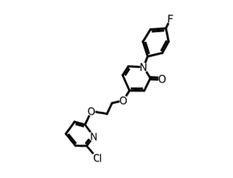 O=c1cc(OCCOc2cccc(Cl)n2)ccn1-c1ccc(F)cc1